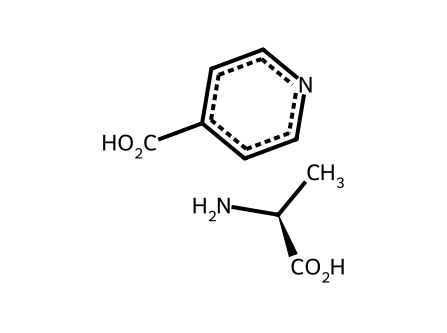 C[C@H](N)C(=O)O.O=C(O)c1ccncc1